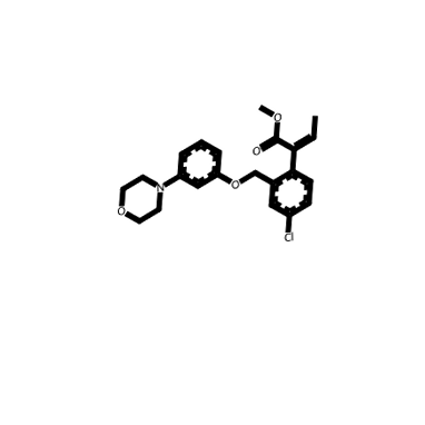 CC=C(C(=O)OC)c1ccc(Cl)cc1COc1cccc(N2CCOCC2)c1